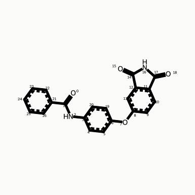 O=C(Nc1ccc(Oc2ccc3c(c2)C(=O)NC3=O)cc1)c1ccccc1